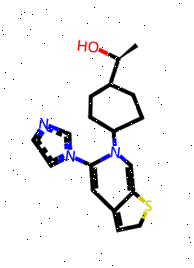 C[C@H](O)C1CCC(N2C=C3SCC=C3C=C2n2ccnc2)CC1